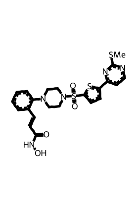 CSc1nccc(-c2ccc(S(=O)(=O)N3CCN(c4ccccc4C=CC(=O)NO)CC3)s2)n1